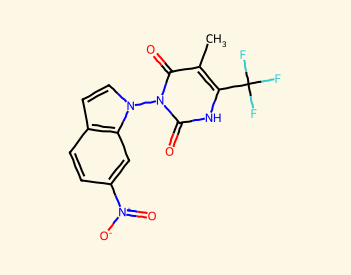 Cc1c(C(F)(F)F)[nH]c(=O)n(-n2ccc3ccc([N+](=O)[O-])cc32)c1=O